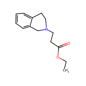 CCOC(=O)CCN1CCc2ccccc2C1